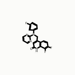 O=c1cc(CN(c2cccc(F)c2)c2ncccn2)c2ccc(F)c(F)c2[nH]1